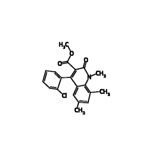 COC(=O)c1c(-c2ccccc2Cl)c2cc(C)cc(C)c2n(C)c1=O